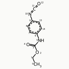 CCOC(=O)Nc1ccc(N=C=O)cc1